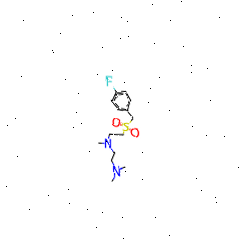 CN(C)CCN(C)CCS(=O)(=O)Cc1ccc(F)cc1